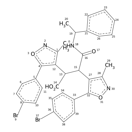 Cc1noc(-c2ccc(Br)cc2)c1C(C(=O)O)C(C(=O)NC(C)c1ccccc1)c1c(C)noc1-c1ccc(Br)cc1